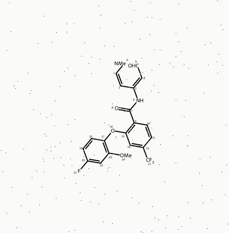 CN/C=C\C(=C/C=O)NC(=O)c1ccc(C(F)(F)F)cc1Oc1ccc(F)cc1OC